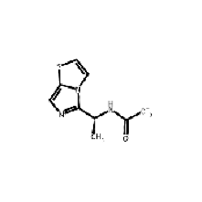 C[C@H](NC(=O)C(F)(F)F)c1ncc2sccn12